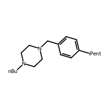 CCCCN1CCN(Cc2ccc(C(C)CCC)cc2)CC1